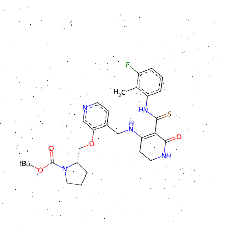 Cc1c(F)cccc1NC(=S)C1=C(NCc2ccncc2OC[C@@H]2CCCN2C(=O)OC(C)(C)C)CCNC1=O